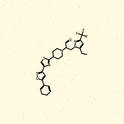 CCc1cc(C(F)(F)F)nn1CC(C=O)N1CCC(c2nc(-c3cc(C4=CCCC=C4)on3)cs2)CC1